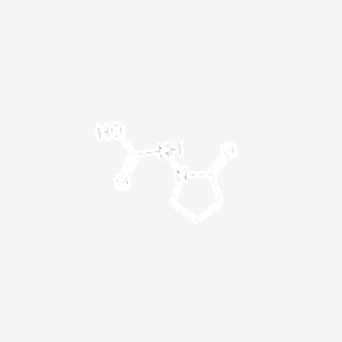 O=C(O)NN1CCCC1=O